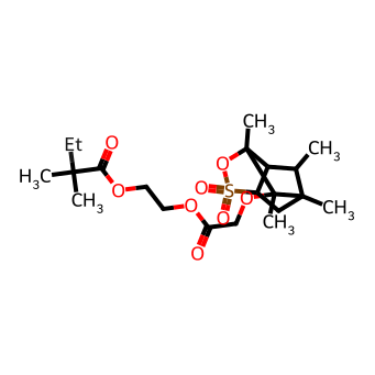 CCC(C)(C)C(=O)OCCOC(=O)COC1(C)C2(C)CC3C(C2C)C1(C)OS3(=O)=O